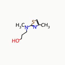 Cc1csc(N(C)CCCO)n1